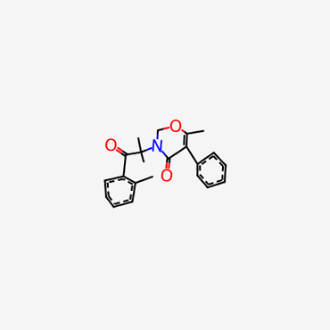 CC1=C(c2ccccc2)C(=O)N(C(C)(C)C(=O)c2ccccc2C)CO1